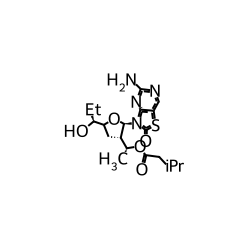 CC[C@H](O)C1C[C@@H]([C@@H](C)OC(=O)CC(C)C)[C@H](n2c(=O)sc3cnc(N)nc32)O1